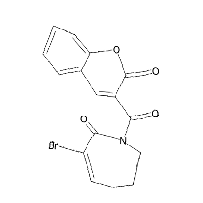 O=C1C(Br)=CCCCN1C(=O)c1cc2ccccc2oc1=O